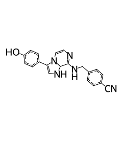 N#Cc1ccc(CNC2=NC=CN3C(c4ccc(O)cc4)=CNC23)cc1